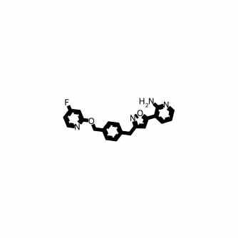 Nc1ncccc1-c1cc(Cc2ccc(COc3cc(F)ccn3)cc2)no1